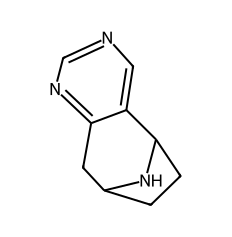 c1ncc2c(n1)CC1CCC2N1